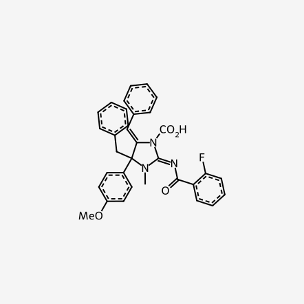 COc1ccc(C2(Cc3ccccc3)C(=Cc3ccccc3)N(C(=O)O)C(=NC(=O)c3ccccc3F)N2C)cc1